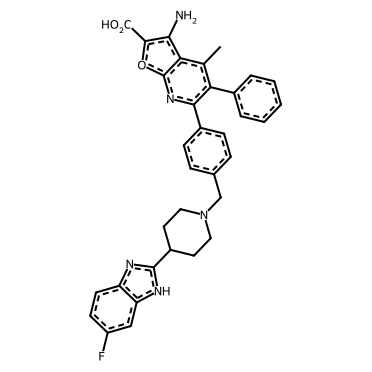 Cc1c(-c2ccccc2)c(-c2ccc(CN3CCC(c4nc5ccc(F)cc5[nH]4)CC3)cc2)nc2oc(C(=O)O)c(N)c12